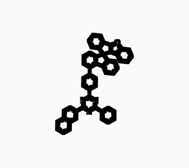 c1ccc(-c2nc(-c3ccc(-c4cccc5c4-c4ccccc4C54c5ccccc5-c5oc6ccccc6c54)cc3)nc(-c3ccc4ccccc4c3)n2)cc1